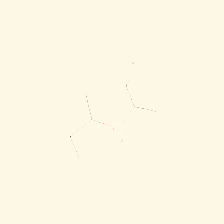 CCC(C)OC(C)CCl